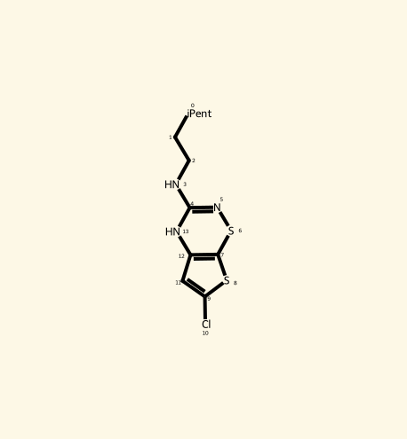 CCCC(C)CCNC1=NSc2sc(Cl)cc2N1